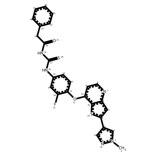 Cn1cc(-c2cc3nccc(Oc4ccc(NC(=S)NC(=O)Cc5ccccc5)cc4F)c3s2)cn1